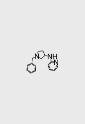 c1ccc(CN2CCC(Nc3ccccn3)C2)cc1